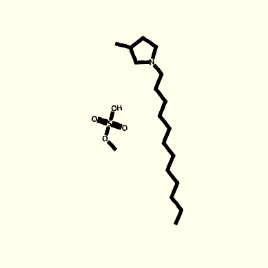 CCCCCCCCCCCCN1CCC(C)C1.COS(=O)(=O)O